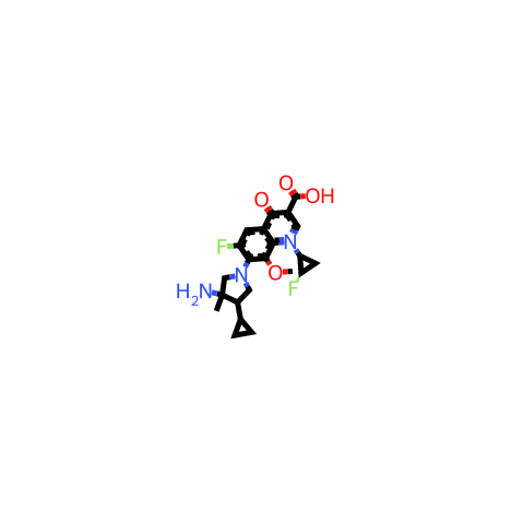 COc1c(N2CC(C3CC3)C(C)(N)C2)c(F)cc2c(=O)c(C(=O)O)cn(C3C[C@@H]3F)c12